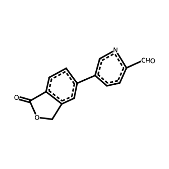 O=Cc1ccc(-c2ccc3c(c2)COC3=O)cn1